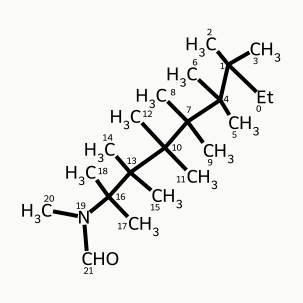 CCC(C)(C)C(C)(C)C(C)(C)C(C)(C)C(C)(C)C(C)(C)N(C)C=O